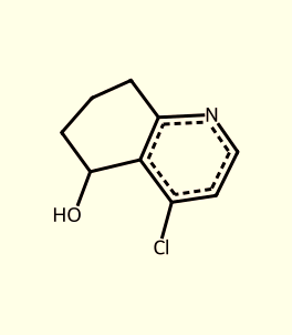 OC1CCCc2nccc(Cl)c21